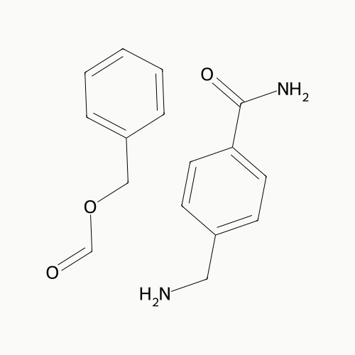 NCc1ccc(C(N)=O)cc1.O=COCc1ccccc1